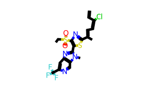 C=C/C(Cl)=C\C=C(/C)c1nc(S(=O)(=O)CC)c(-c2nc3cc(C(F)(F)F)ncc3n2C)s1